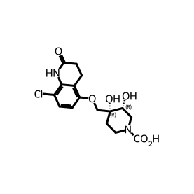 O=C1CCc2c(OC[C@]3(O)CCN(C(=O)O)C[C@H]3O)ccc(Cl)c2N1